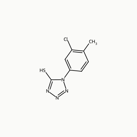 Cc1ccc(-n2nnnc2S)cc1Cl